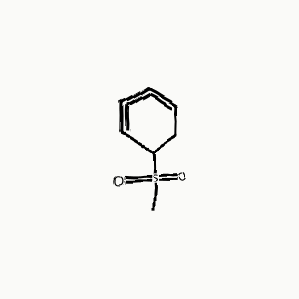 CS(=O)(=O)C1C=C=C=CC1